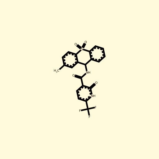 Cc1ccc2c(c1)C(NC(=O)c1ccc(C(F)(F)F)[nH]c1=O)c1ccccc1S2(=O)=O